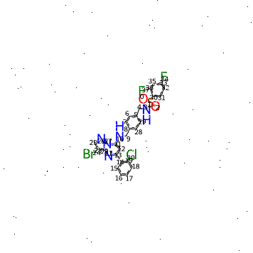 O=S(=O)(NCc1ccc(CNc2cc(-c3ccccc3Cl)nc3c(Br)cnn23)cc1)c1ccc(F)cc1F